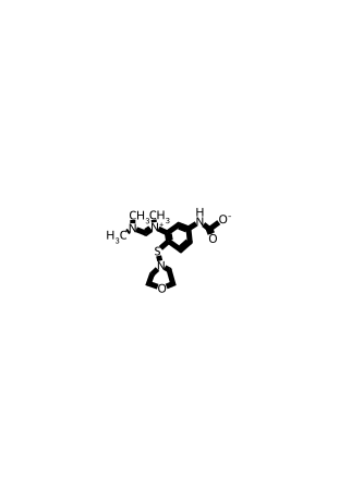 CN(C)C=[N+](C)c1cc(NC(=O)[O-])ccc1SN1CCOCC1